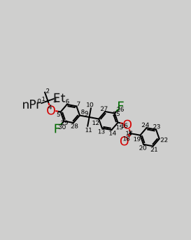 CCCC(C)(CC)Oc1ccc(C(C)(C)c2ccc(OC(=O)c3ccccc3)c(F)c2)cc1F